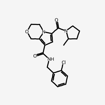 CC1CCCN1C(=O)c1cc(C(=O)NCc2ccccc2Cl)c2n1CCOC2